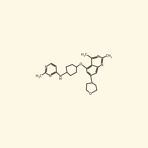 Cc1nccc(NC2CCC(Oc3cc(N4CCOCC4)cc4nc(C)nc(C)c34)CC2)n1